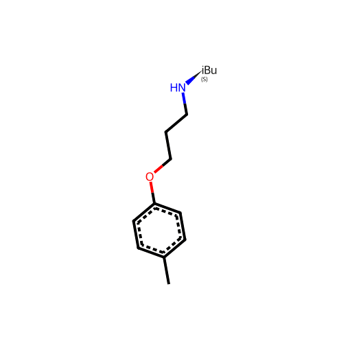 CC[C@H](C)NCCCOc1ccc(C)cc1